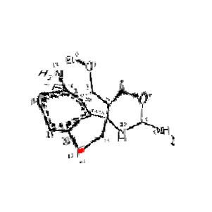 CCO[C@@H](CF)[C@H]1COC(N)N[C@]1(CF)c1cc(N)ccc1F